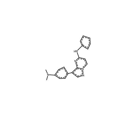 CN(C)c1ccc(-c2cnn3ccc(Nc4ccccc4)nc23)cc1